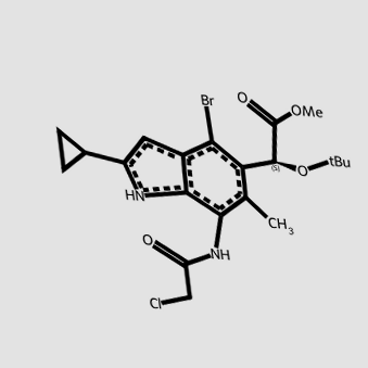 COC(=O)[C@@H](OC(C)(C)C)c1c(C)c(NC(=O)CCl)c2[nH]c(C3CC3)cc2c1Br